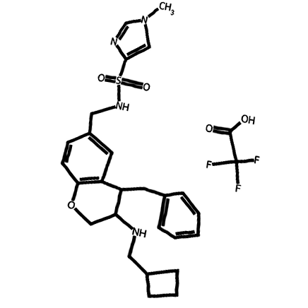 Cn1cnc(S(=O)(=O)NCc2ccc3c(c2)C(Cc2ccccc2)C(NCC2CCC2)CO3)c1.O=C(O)C(F)(F)F